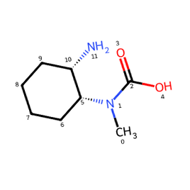 CN(C(=O)O)[C@@H]1CCCC[C@@H]1N